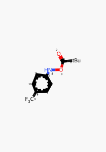 CC(C)(C)C(=O)ONc1ccc(C(F)(F)F)cc1